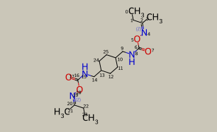 CC/C(C)=N\OC(=O)NCC1CCC(CNC(=O)O/N=C(/C)CC)CC1